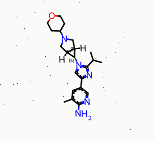 Cc1cc(-c2cn([C@H]3[C@@H]4CN(C5CCOCC5)C[C@@H]43)c(C(C)C)n2)cnc1N